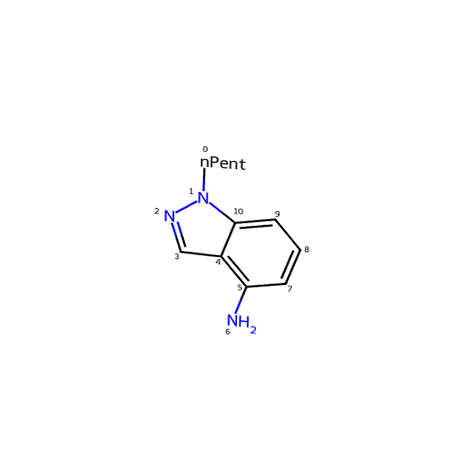 CCCCCn1ncc2c(N)cccc21